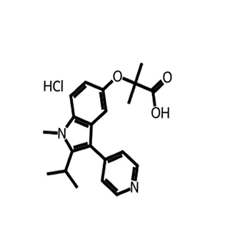 CC(C)c1c(-c2ccncc2)c2cc(OC(C)(C)C(=O)O)ccc2n1C.Cl